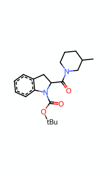 CC1CCCN(C(=O)C2Cc3ccccc3N2C(=O)OC(C)(C)C)C1